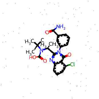 C[C@@H](c1nc2cccc(Cl)c2c(=O)n1-c1cccc(C(N)=O)c1)N(C(=O)O)C(C)(C)C